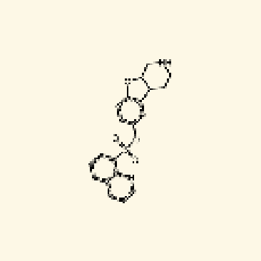 O=S(=O)(Oc1ccc2c(c1)C1CCNCC1O2)c1cccc2cccnc12